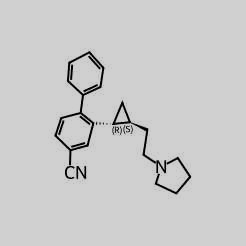 N#Cc1ccc(-c2ccccc2)c([C@@H]2C[C@H]2CCN2CCCC2)c1